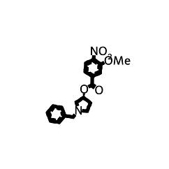 COc1cc(C(=O)O[C@H]2CCN(Cc3ccccc3)C2)ccc1[N+](=O)[O-]